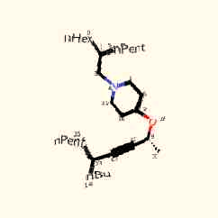 CCCCCCC(CCCCC)CN1CCC(O[C@H](C)C#CC(CCCC)CCCCC)CC1